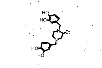 CCC1CN(Cc2ccc(O)c(O)c2)CCN1Cc1ccc(O)c(O)c1